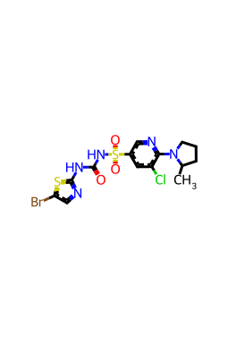 CC1CCCN1c1ncc(S(=O)(=O)NC(=O)Nc2ncc(Br)s2)cc1Cl